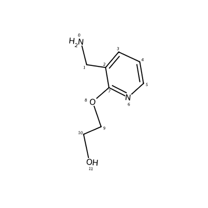 NCc1cccnc1OCCO